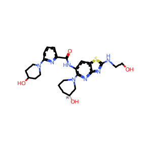 O=C(Nc1cc2sc(NCCO)nc2nc1N1CCC[C@@H](O)C1)c1cccc(N2CCC(O)CC2)n1